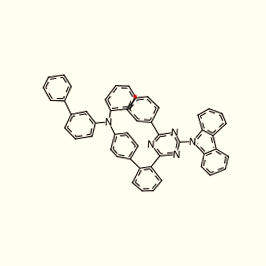 c1ccc(-c2cccc(N(c3ccccc3)c3ccc(-c4ccccc4-c4nc(-c5ccccc5)nc(-n5c6ccccc6c6ccccc65)n4)cc3)c2)cc1